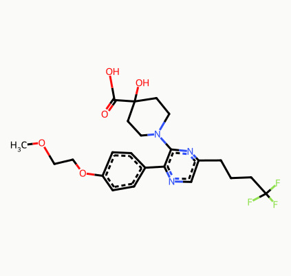 COCCOc1ccc(-c2ncc(CCCC(F)(F)F)nc2N2CCC(O)(C(=O)O)CC2)cc1